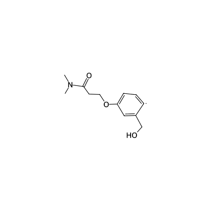 CN(C)C(=O)CCOc1cc[c]c(CO)c1